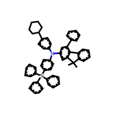 CC1(C)c2ccccc2-c2c(-c3ccccc3)cc(N(c3ccc(C4CCCCC4)cc3)c3ccc([Si](c4ccccc4)(c4ccccc4)c4ccccc4)cc3)cc21